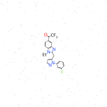 CCn1c(Cc2ccnn2-c2cccc(F)c2)nc2cc(C(=O)C(F)(F)F)ccc21